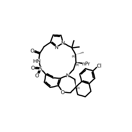 CCC[C@H]1CN2C[C@@]3(CCCc4cc(Cl)ccc43)COc3ccc(cc32)S(=O)(=O)NC(=O)Cc2ccn(n2)C(C)(C)[C@@H]1C